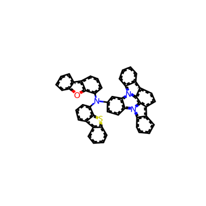 c1ccc2c(c1)oc1c(N(c3ccc4c(c3)n3c5ccccc5c5ccc6c7ccccc7n4c6c53)c3cccc4c3sc3ccccc34)cccc12